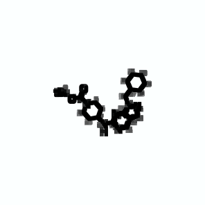 CC(C)(C)OC(=O)N1CCC(Nc2ncc3cnn(CC4CCCCC4)c3n2)CC1